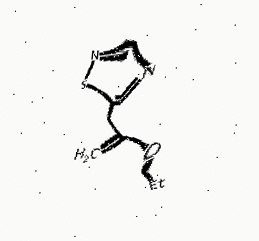 C=C(OCC)c1ncns1